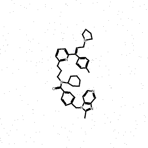 Cc1ccc(/C(=C\CN2CCCC2)c2cccc(CCCN(C(=O)c3ccc(Cn4c(C)nc5cnccc54)cc3)C3CCCCC3)n2)cc1